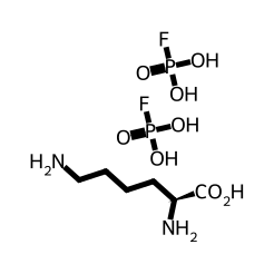 NCCCC[C@H](N)C(=O)O.O=P(O)(O)F.O=P(O)(O)F